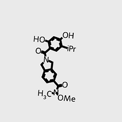 CON(C)C(=O)c1ccc2c(c1)CN(C(=O)c1cc(C(C)C)c(O)cc1O)C2